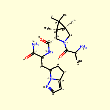 CC(C)(C)C(N)C(=O)N1C[C@H]2[C@@H]([C@H]1C(=O)NC(CC1CCc3ccnn31)C(N)=O)C2(C)C